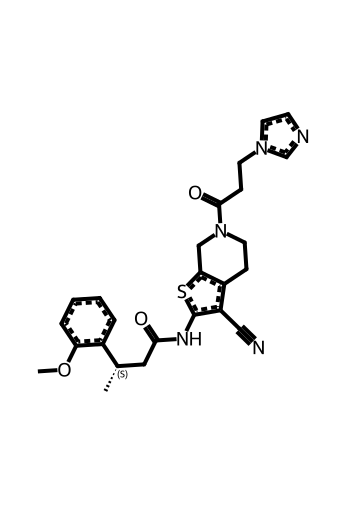 COc1ccccc1[C@@H](C)CC(=O)Nc1sc2c(c1C#N)CCN(C(=O)CCn1ccnc1)C2